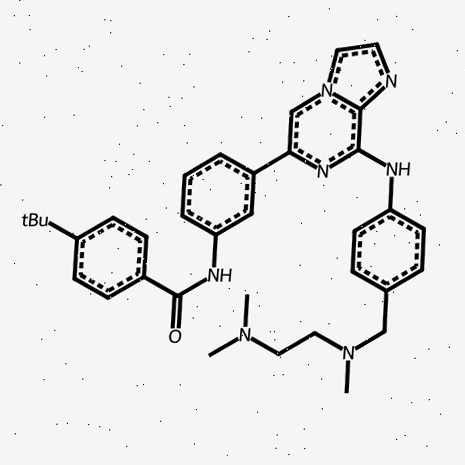 CN(C)CCN(C)Cc1ccc(Nc2nc(-c3cccc(NC(=O)c4ccc(C(C)(C)C)cc4)c3)cn3ccnc23)cc1